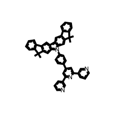 CC1(C)c2ccccc2-c2cc3c4cc5c(cc4n(-c4ccc(-c6cc(-c7cccnc7)nc(-c7cccnc7)c6)cc4)c3cc21)C(C)(C)c1ccccc1-5